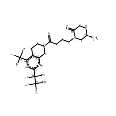 C[C@H]1CN(CCCC(=O)N2CCc3c(nc(C(F)(F)C(F)(F)F)nc3C(F)(F)F)C2)C(=O)CO1